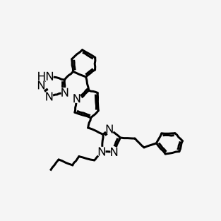 CCCCCn1nc(CCc2ccccc2)nc1Cc1ccc(-c2ccccc2-c2nnn[nH]2)nc1